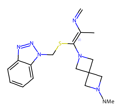 C=N/C(C)=C(\SCn1nnc2ccccc21)N1CC2(CN(NC)C2)C1